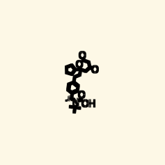 C[C@H](c1ccc(CCC2(C3CCCC3)CC(=O)CC(=O)O2)cc1)N(C(=O)O)C(C)(C)C